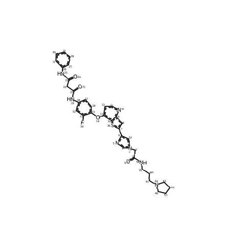 O=C(Cn1cnc(-c2cc3nccc(Oc4ccc(NC(=O)CC(=O)Nc5ccccc5)cc4F)c3s2)c1)NCCCN1CCCC1